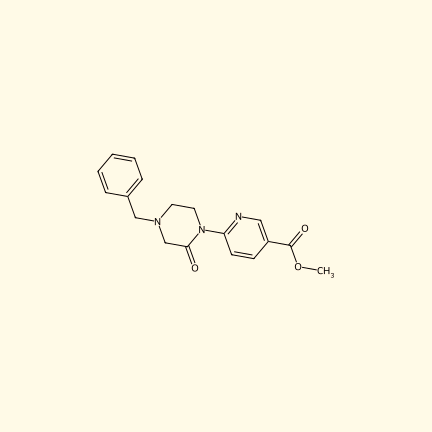 COC(=O)c1ccc(N2CCN(Cc3ccccc3)CC2=O)nc1